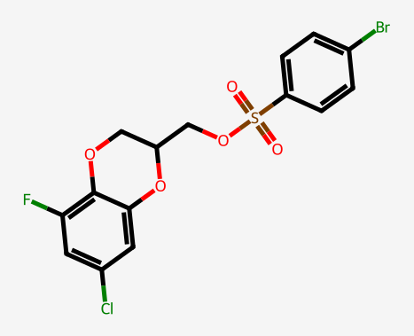 O=S(=O)(OCC1COc2c(F)cc(Cl)cc2O1)c1ccc(Br)cc1